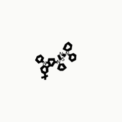 CC(C)(C)c1ccc2c(c1)c1cc(N(c3ccccc3)c3cnc(N(c4ccccc4)c4ccccc4)s3)ccc1n2-c1ccccc1